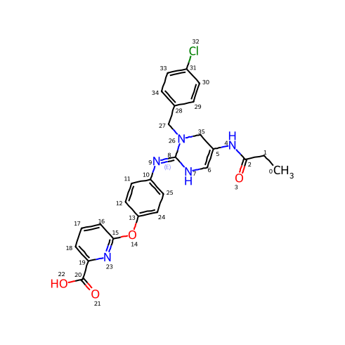 CCC(=O)NC1=CN/C(=N\c2ccc(Oc3cccc(C(=O)O)n3)cc2)N(Cc2ccc(Cl)cc2)C1